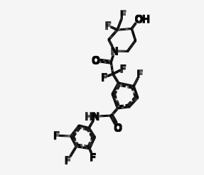 O=C(Nc1cc(F)c(F)c(F)c1)c1ccc(F)c(C(F)(F)C(=O)N2CCC(O)C(F)(F)C2)c1